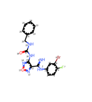 N=C(Nc1ccc(F)c(Br)c1)c1nonc1NC(=O)NCc1ccccc1